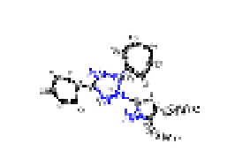 CSc1cc(N2N=C(c3ccccc3)NN2c2ccccc2)[nH]c1SC